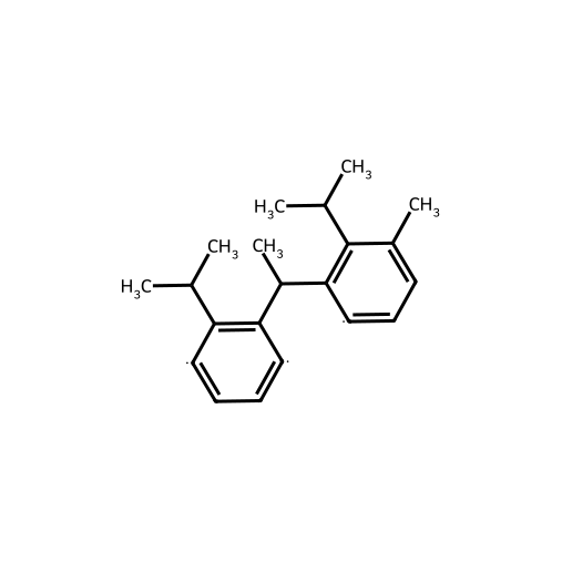 Cc1cc[c]c(C(C)c2[c]cc[c]c2C(C)C)c1C(C)C